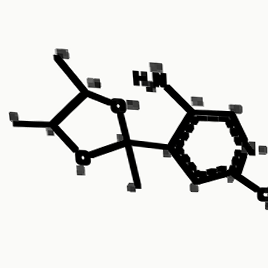 CC1OC(C)(c2cc(Cl)ncc2N)OC1C